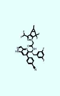 CC1C2c3c(C(F)F)nn(CC(=O)N[C@@H](Cc4cc(F)cc(F)c4)c4nc5cn[nH]c5cc4-c4ccc(C#N)cc4)c3C(F)(F)C12